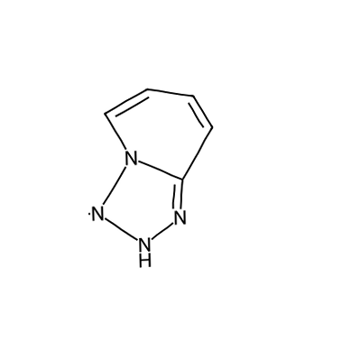 C1=CC2=NN[N]N2C=C1